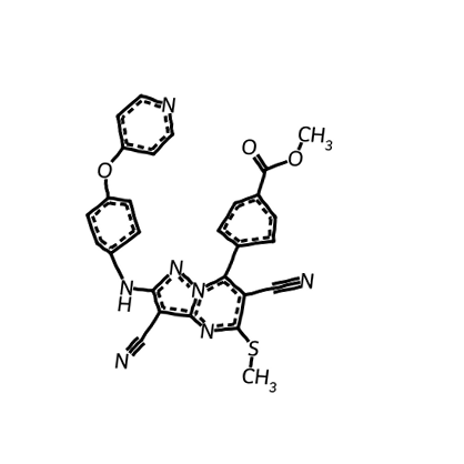 COC(=O)c1ccc(-c2c(C#N)c(SC)nc3c(C#N)c(Nc4ccc(Oc5ccncc5)cc4)nn23)cc1